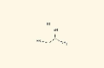 I.NC(S)CS